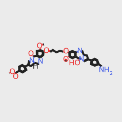 COC(=O)c1ccc(C2=CN3C(=O)c4cc(OC)c(OCCCCCOc5cc6c(cc5OC)C(O)N5C=C(c7ccc(CN)cc7)CC5C=N6)cc4N=C[C@@H]3C2)cc1